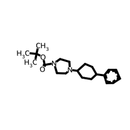 CC(C)(C)OC(=O)N1CCN(C2CCC(c3ccccc3)CC2)CC1